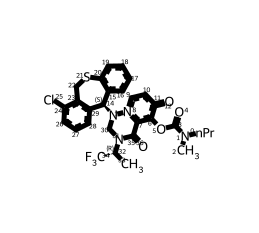 CCCN(C)C(=O)Oc1c2n(ccc1=O)N([C@@H]1c3ccccc3SCc3c(Cl)cccc31)CN([C@H](C)C(F)(F)F)C2=O